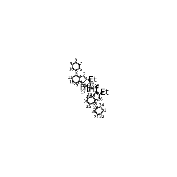 CCC1=Cc2c(-c3ccccc3)cccc2[CH]1[Hf]([CH3])[C](C)(C)[Hf]([CH3])[CH]1C(CC)=Cc2c(-c3ccccc3)cccc21